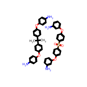 CC(C)(c1ccc(Oc2ccc(N)cc2)cc1)c1ccc(Oc2ccc(N)cc2)cc1.Nc1cccc(Oc2ccc(S(=O)(=O)c3ccc(Oc4cccc(N)c4)cc3)cc2)c1